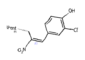 CCC[C@@H](C)C/C(=C\c1ccc(O)c(Cl)c1)[N+](=O)[O-]